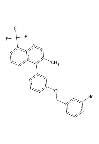 Cc1cnc2c(C(F)(F)F)cccc2c1-c1cccc(OCc2cccc(Br)c2)c1